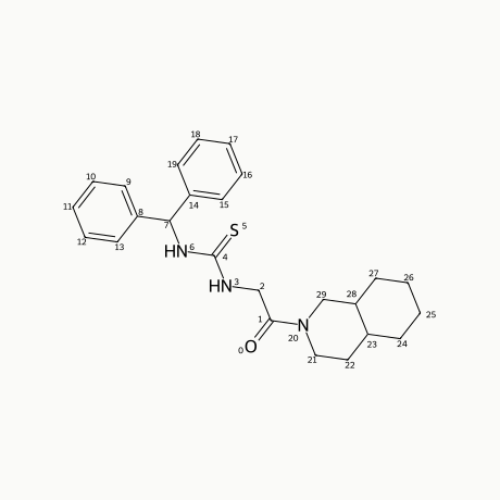 O=C(CNC(=S)NC(c1ccccc1)c1ccccc1)N1CCC2CCCCC2C1